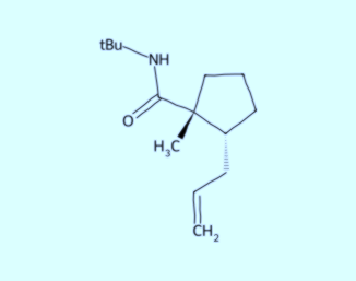 C=CC[C@H]1CCC[C@@]1(C)C(=O)NC(C)(C)C